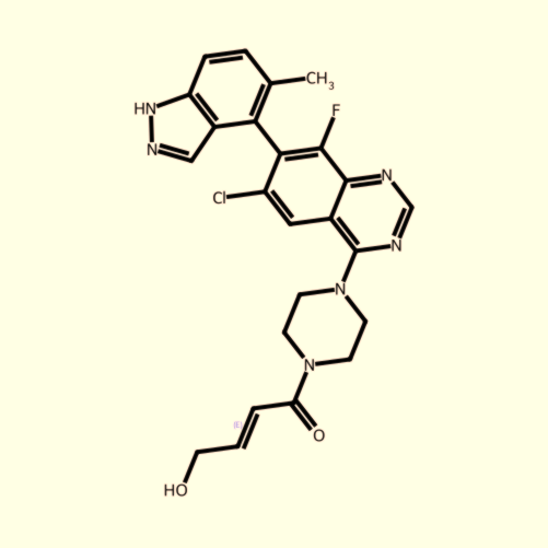 Cc1ccc2[nH]ncc2c1-c1c(Cl)cc2c(N3CCN(C(=O)/C=C/CO)CC3)ncnc2c1F